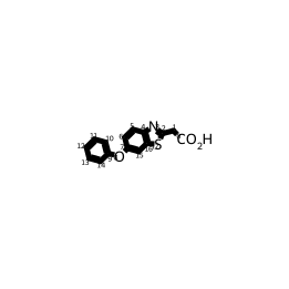 O=C(O)Cc1nc2ccc(Oc3ccccc3)cc2s1